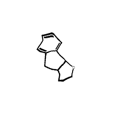 c1ccc2c(c1)CC1CCOC21